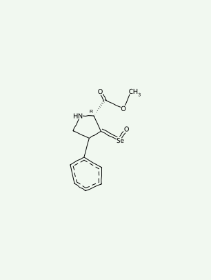 COC(=O)[C@H]1NCC(c2ccccc2)C1=[Se]=O